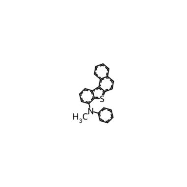 CN(c1ccccc1)c1cccc2c1sc1ccc3ccccc3c12